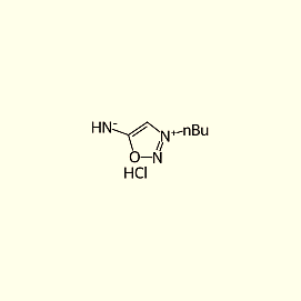 CCCC[n+]1cc([NH-])on1.Cl